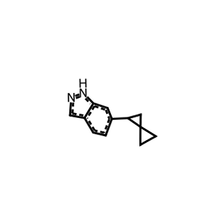 c1cc2cn[nH]c2cc1C1CC12CC2